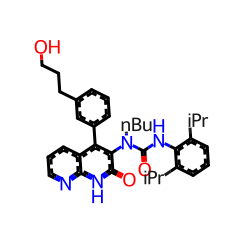 CCCCN(C(=O)Nc1c(C(C)C)cccc1C(C)C)c1c(-c2cccc(CCCO)c2)c2cccnc2[nH]c1=O